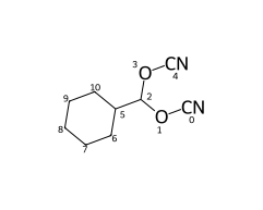 N#COC(OC#N)C1CCCCC1